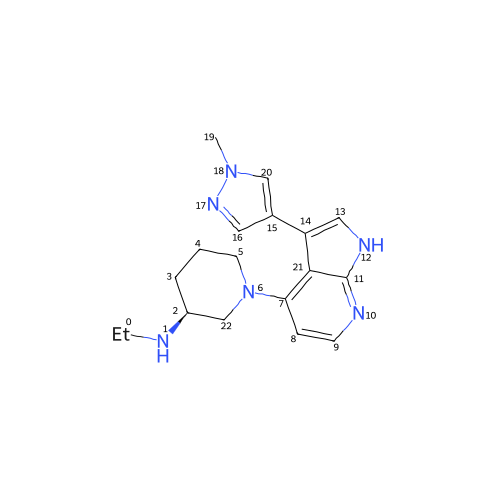 CCN[C@H]1CCCN(c2ccnc3[nH]cc(-c4cnn(C)c4)c23)C1